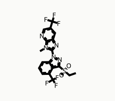 CCS(=O)(=O)c1nn(-c2nc3cc(C(F)(F)F)cnc3n2C)c2cccc(C(F)(F)F)c12